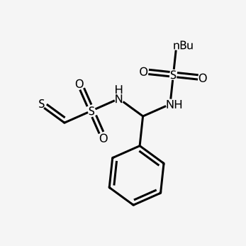 CCCCS(=O)(=O)NC(NS(=O)(=O)C=S)c1ccccc1